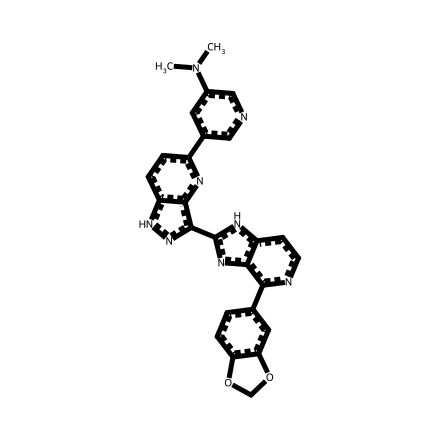 CN(C)c1cncc(-c2ccc3[nH]nc(-c4nc5c(-c6ccc7c(c6)OCO7)nccc5[nH]4)c3n2)c1